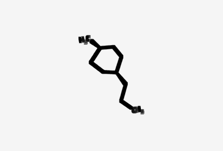 CCC[C@H]1CC[C@@H](C)CC1